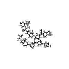 CN(C)C(=O)c1cc2ccc(-c3nccc(Nc4ccc(-c5cn[nH]c5)nc4-c4cc(Nc5ccc6[nH]ncc6c5)nc(-c5ccc6cc(C(=O)Nc7ccncc7C(F)(F)F)[nH]c6c5)n4)n3)cc2[nH]1